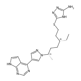 CC[C@@H](CCSc1nnc(N)[nH]1)CC[C@H](C)n1cc(-c2ncnc3[nH]ccc23)cn1